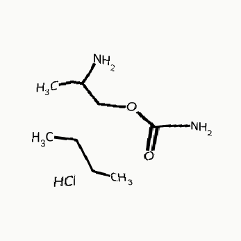 CC(N)COC(N)=O.CCCC.Cl